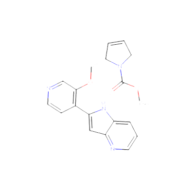 CC(C)(C)OC(=O)N1CC=C[C@H]1COc1cnccc1-c1cc2ncccc2[nH]1